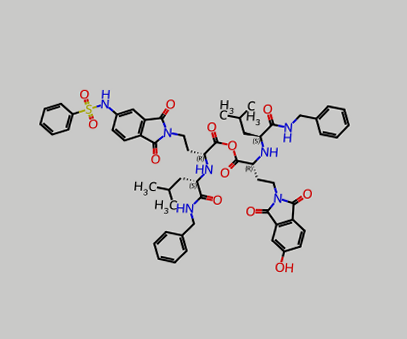 CC(C)C[C@H](N[C@H](CCN1C(=O)c2ccc(O)cc2C1=O)C(=O)OC(=O)[C@@H](CCN1C(=O)c2ccc(NS(=O)(=O)c3ccccc3)cc2C1=O)N[C@@H](CC(C)C)C(=O)NCc1ccccc1)C(=O)NCc1ccccc1